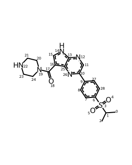 CC(C)S(=O)(=O)c1ccc(-c2cnc3[nH]cc(C(=O)N4CCNCC4)c3n2)cc1